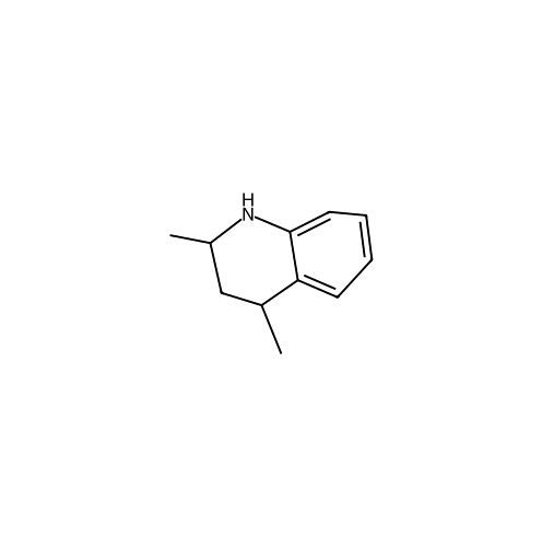 CC1CC(C)c2ccccc2N1